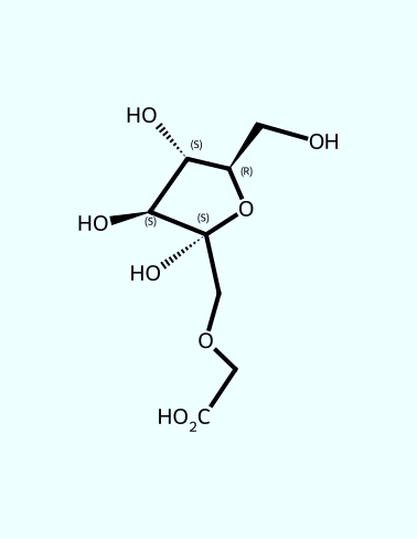 O=C(O)COC[C@]1(O)O[C@H](CO)[C@@H](O)[C@@H]1O